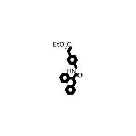 CCOC(=O)/C=C/c1ccc(CNC(=O)/C(=C/c2ccccc2)c2ccccc2)cc1